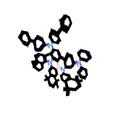 CC1(C)CCC(C)(C)c2cc(N3B4c5cc6c(cc5-n5c7c4c(cc(N(c4ccc(-c8ccccc8)cc4)c4ccc(-c8ccccc8)cc4)c7c4ccc7ccccc7c45)-c4ccc(N(c5ccccc5)c5ccccc5)cc43)C(C)(C)CCC6(C)C)ccc21